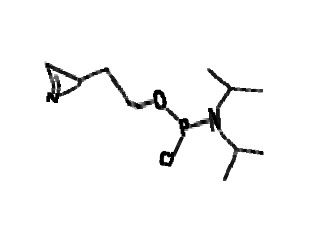 CC(C)N(C(C)C)P(Cl)OCCC1C=N1